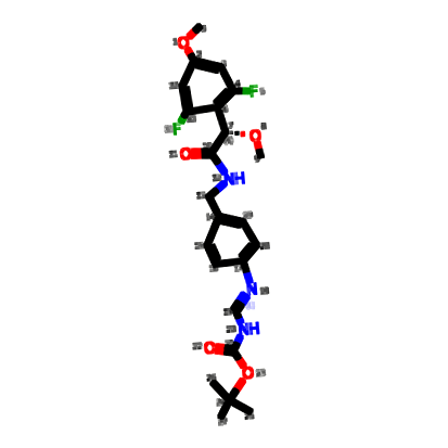 COc1cc(F)c([C@H](OC)C(=O)NCc2ccc(/N=C/NC(=O)OC(C)(C)C)cc2)c(F)c1